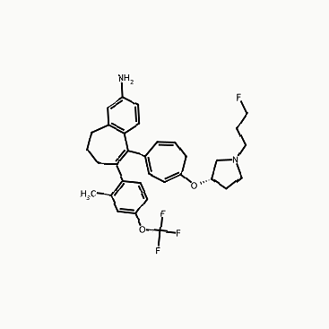 Cc1cc(OC(F)(F)F)ccc1C1=C(C2=CC=C(O[C@H]3CCN(CCCF)C3)CC=C2)c2ccc(N)cc2CCC1